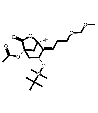 COCOCC/C=C1\[C@H]2C[C@@](OC(C)=O)(C[C@H]1O[Si](C)(C)C(C)(C)C)C(=O)O2